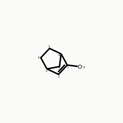 [O]C1=CC2CCC1C2